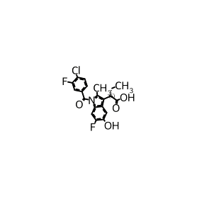 CC[C@H](C(=O)O)c1c(C)n(C(=O)c2ccc(Cl)c(F)c2)c2cc(F)c(O)cc12